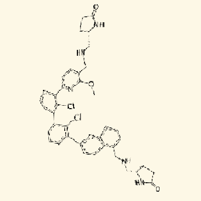 COc1nc(-c2cccc(-c3cccc(-c4ccc5c(CNC[C@@H]6CCC(=O)N6)cccc5c4)c3Cl)c2Cl)ccc1CNC[C@@H]1CCC(=O)N1